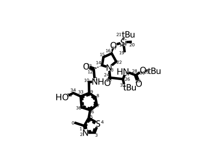 Cc1ncsc1-c1ccc(CNC(=O)[C@@H]2C[C@@H](O[Si](C)(C)C(C)(C)C)CN2C(=O)C(NC(=O)OC(C)(C)C)C(C)(C)C)c(CO)c1